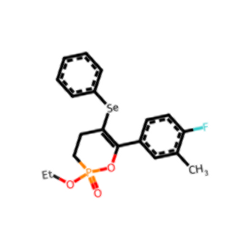 CCOP1(=O)CCC([Se]c2ccccc2)=C(c2ccc(F)c(C)c2)O1